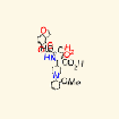 COc1ccccc1N1CCC(CNC[C@H]2COc3ccc4occc4c3O2)CC1.O.O=C(O)C=CC(=O)O